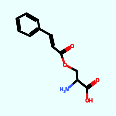 NC(COC(=O)/C=C/c1ccccc1)C(=O)O